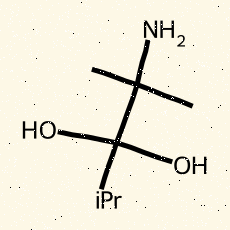 CC(C)C(O)(O)C(C)(C)N